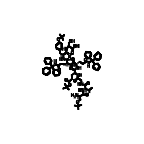 CC(C)[C@H](NC(=O)[C@@H](N)COC(C)(C)C)C(=O)NCC(=O)N[C@@H](CCC(=O)OC(C)(C)C)C(=O)N[C@@H](CCC(=O)NC(c1ccccc1)(c1ccccc1)c1ccccc1)C(=O)N[C@@H](CCC(=O)NC(c1ccccc1)(c1ccccc1)c1ccccc1)C(=O)N[C@@H](Cc1ccc(OC(C)(C)C)cc1)C(=O)N[C@@H](CO)C(=O)O